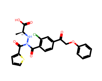 C[C@H](NN(C(=O)c1cccs1)C(=O)c1ccc(C(=O)COc2ccccc2)cc1Cl)C(=O)O